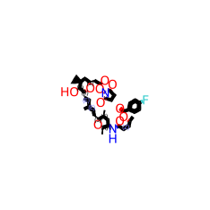 CC(/C=C/[C@H]1O[C@H](CC(=O)ON2C(=O)CCC2=O)CC2(CC2)[C@@H]1O)=C\C[C@@H]1O[C@H](C)[C@H](NC(=O)/C=C\C(C)OC(=O)c2ccc(F)cc2)C[C@@H]1C